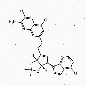 CC1(C)O[C@@H]2[C@H](O1)C(CCc1cc(Cl)c3cc(Cl)c(N)nc3c1)=C[C@H]2n1ccc2c(Cl)ncnc21